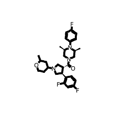 CC1CC(N2C[C@H](C(=O)N3C[C@@H](C)N(c4ccc(F)cc4)[C@@H](C)C3)[C@@H](c3ccc(F)cc3F)C2)CCO1